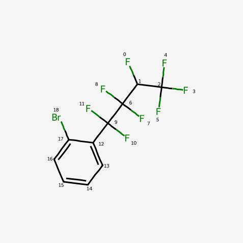 FC(C(F)(F)F)C(F)(F)C(F)(F)c1ccccc1Br